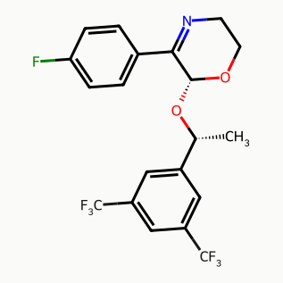 C[C@@H](O[C@H]1OCCN=C1c1ccc(F)cc1)c1cc(C(F)(F)F)cc(C(F)(F)F)c1